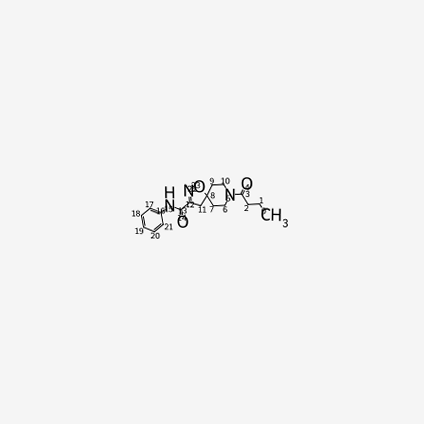 CCCC(=O)N1CCC2(CC1)CC(C(=O)Nc1ccccc1)=NO2